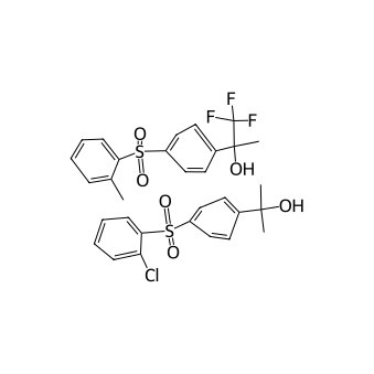 CC(C)(O)c1ccc(S(=O)(=O)c2ccccc2Cl)cc1.Cc1ccccc1S(=O)(=O)c1ccc(C(C)(O)C(F)(F)F)cc1